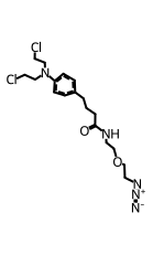 [N-]=[N+]=NCCOCCNC(=O)CCCc1ccc(N(CCCl)CCCl)cc1